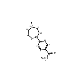 COC(=O)c1ccc(N2CCCN(C)CC2)cc1